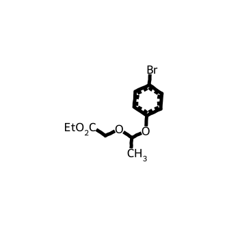 CCOC(=O)COC(C)Oc1ccc(Br)cc1